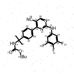 CC(C)(C)OC(=O)NC(C)(C)c1ccc(-c2nc(Nc3cc(F)c(F)c(F)c3)ncc2C#N)cc1